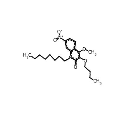 CCCCCCCCn1c(=O)c(OCCCC)c(OC)c2ccc([N+](=O)[O-])cc21